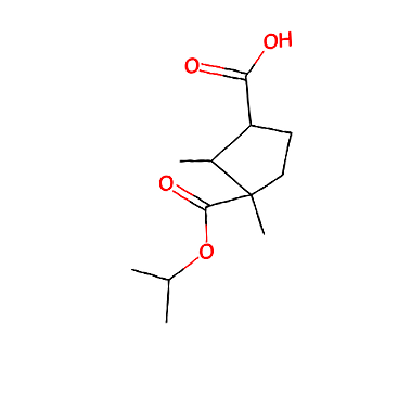 CC(C)OC(=O)C1(C)CCC(C(=O)O)C1C